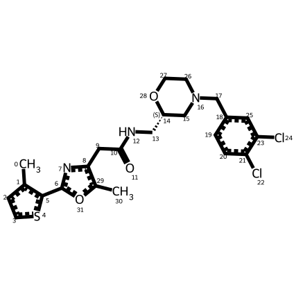 Cc1ccsc1-c1nc(CC(=O)NC[C@H]2CN(Cc3ccc(Cl)c(Cl)c3)CCO2)c(C)o1